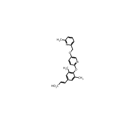 Cc1cccc(COc2ccc(Oc3c(C)cc(C=CC(=O)O)cc3C)nc2)n1